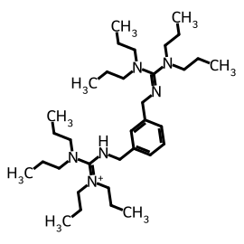 CCCN(CCC)C(=NCc1cccc(CNC(N(CCC)CCC)=[N+](CCC)CCC)c1)N(CCC)CCC